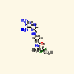 Nc1nc(N)c2nc(CNc3ccc(C(=O)NC(CC(Cl)(Cl)C(=O)O)C(=O)O)cc3)cnc2n1